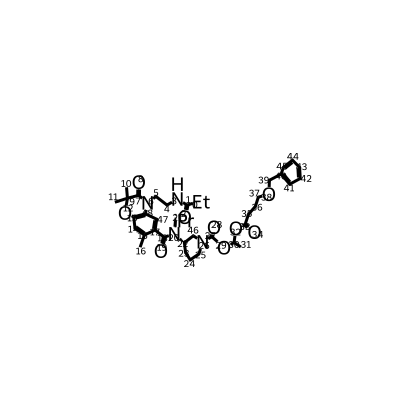 CCC(=O)NCCN1C(=O)C(C)(C)Oc2cc(C)c(C(=O)N(C(C)C)[C@@H]3CCCN(C(=O)OC(C)OC(=O)CCCOCc4ccccc4)C3)cc21